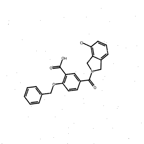 O=C(O)c1cc(C(=O)N2Cc3cccc(Cl)c3C2)ccc1OCc1ccccc1